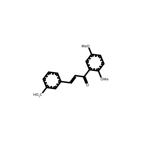 COc1ccc(OC)c(C(=O)/C=C/c2cccc(C(=O)O)c2)c1